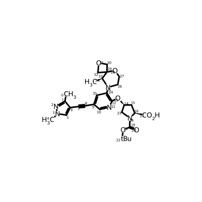 Cc1nn(C)cc1C#Cc1cnc(O[C@H]2C[C@@H](C(=O)O)N(C(=O)OC(C)(C)C)C2)c(N2CCOC3(COC3)[C@@H]2C)c1